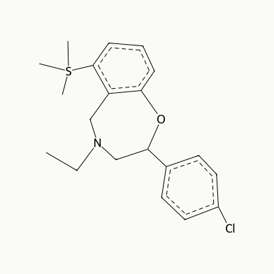 CCN1Cc2c(cccc2S(C)(C)C)OC(c2ccc(Cl)cc2)C1